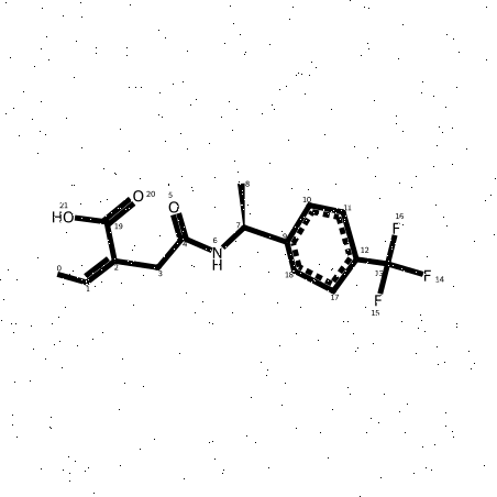 C/C=C(/CC(=O)N[C@@H](C)c1ccc(C(F)(F)F)cc1)C(=O)O